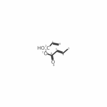 C=CC(=O)O.CC=CC([O])=O